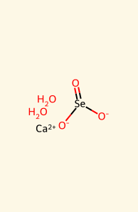 O.O.O=[Se]([O-])[O-].[Ca+2]